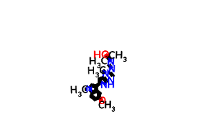 COc1ccc2c(c1)c(-c1cc3c(nc/c(=N/C=N/C(C)(C)O)n3C)[nH]1)cn2C